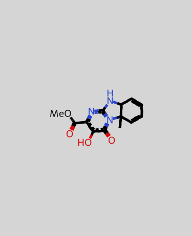 COC(=O)c1nc2n(c(=O)c1O)C1(C)C=CC=CC1N2